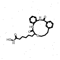 O=C(CCCCCC1OCCCc2cccc(c2)C(=O)Nc2ccccc2NC1=O)NO